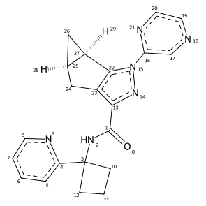 O=C(NC1(c2ccccn2)CCC1)c1nn(-c2cnccn2)c2c1C[C@H]1C[C@@H]21